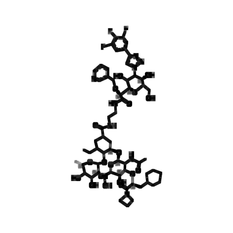 CCC1CC(C(=O)NCCNC(=O)[C@@H](OCc2cccnc2)[C@@H]2OC(CO)[C@H](O)C(n3cc(-c4cc(F)c(F)c(F)c4)nn3)C2O)C[C@@H](O[C@@H]2OC(CO)[C@H](O)C(O[C@@H](CC3CCCCC3)C(=O)N3CCC3)C2NC(C)=O)C1OC1O[C@@H](C)C(O)C(O)[C@@H]1O